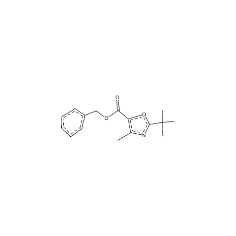 Cc1nc(C(C)(C)C)oc1C(=O)OCc1ccccc1